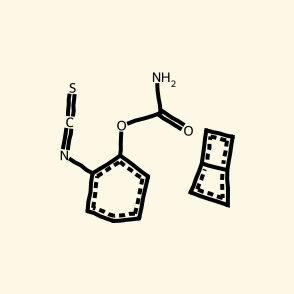 NC(=O)Oc1ccccc1N=C=S.c1cc2ccc1-2